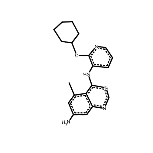 Cc1cc(N)cc2ncnc(Nc3cccnc3OC3CCCCC3)c12